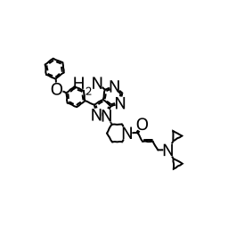 Nc1ncnc2c1c(-c1ccc(Oc3ccccc3)cc1)nn2[C@@H]1CCCN(C(=O)/C=C/CN(C2CC2)C2CC2)C1